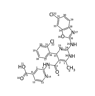 CC1=C(C(=O)Nc2cc(C(=O)O)ccn2)C(c2ccccc2Cl)N=C(Nc2nc3ccc(Cl)cc3o2)N1